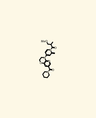 C=C1C=C(N2CCOc3cc(C(=O)N4CCCCC4)cnc32)C=CN1C(=O)C(C)COC